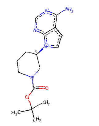 CC(C)(C)OC(=O)N1CCC[C@@H](n2ccc3c(N)ncnc32)C1